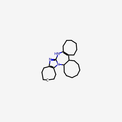 C1CCCC2C3=C(CCCCCC3)Nc3nc4c(n3C2CCC1)CCCCCC4